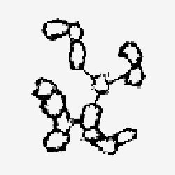 c1ccc2cc3c(cc2c1)c1ccccc1n3-c1cc(C2=NC(c3cccc4ccccc34)NC(c3ccc4c(ccc5ccccc54)c3)=N2)cc2c1oc1ccc3ccccc3c12